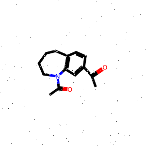 CC(=O)c1ccc2c(c1)N(C(C)=O)CCCC2